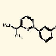 CNC(C)c1cccc(-c2cccc(Cl)c2)n1